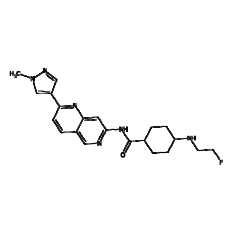 Cn1cc(-c2ccc3cnc(NC(=O)C4CCC(NCCF)CC4)cc3n2)cn1